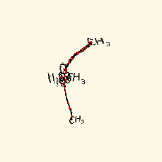 CC#CC#CC#CC#CC#CC#CC#CC#CC(=O)CCC1OC(OC)C(CC(=O)C#CC#CC#CC#CC#CC#CC#CC#CC)[C@@H](OC)[C@@H]1OC